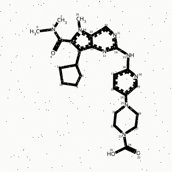 CN(C)C(=O)c1c(C2CCCC2)c2nc(Nc3ccc(N4CCN(C(=O)O)CC4)cn3)ncc2n1C